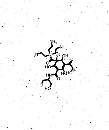 C[C@H](O)C(=O)C1=C(O)C(C(=O)NC(CO)CO)=C(O)C(N)(C(=O)[N+](CCN)(CCN)CCN)C1O